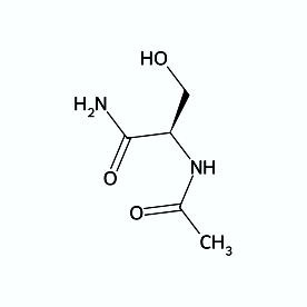 CC(=O)N[C@H](CO)C(N)=O